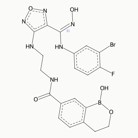 O=C(NCCNc1nonc1/C(=N\O)Nc1ccc(F)c(Br)c1)c1ccc2c(c1)B(O)OCC2